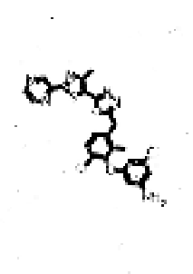 Cc1nc(-c2cnccn2)sc1-c1nnc(Cc2ccc(Cl)c(Oc3cc(N)cc(Cl)c3)c2C)o1